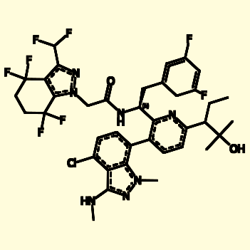 CCC(c1ccc(-c2ccc(Cl)c3c(NC)nn(C)c23)c([C@H](CC2=C=C(F)C=C(F)C2)NC(=O)Cn2nc(C(F)F)c3c2C(F)(F)CCC3(F)F)n1)C(C)(C)O